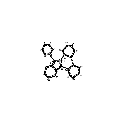 [c]1ccccc1-c1c2ccccc2c(-c2ccccc2)n1-c1ccccc1